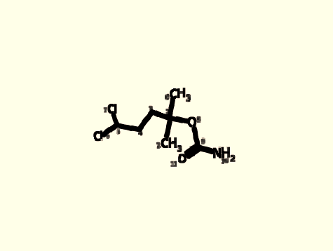 CC(C)(CCC(Cl)Cl)OC(N)=O